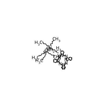 CCCCCC[Si](CCCCCC)(CCCCCC)O[SiH2]O[Si](CCCCCC)(CCCCCC)CCCCCC.c1ccc2c(c1)-c1nc-2nc2[nH]c(nc3nc(nc4[nH]c(n1)c1ccccc41)-c1ccccc1-3)c1ccccc21